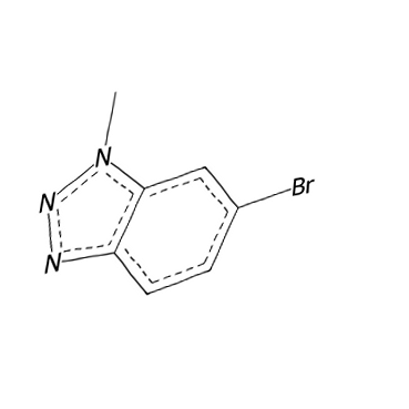 Cn1nnc2ccc(Br)cc21